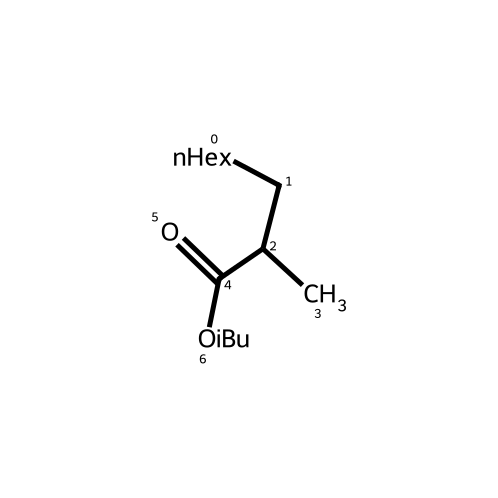 CCCCCCCC(C)C(=O)OCC(C)C